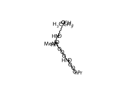 CCCOCCOCCOCCC(=O)NCCCOCCOCCOCCCNC(=O)[C@H](CCCCNC(=O)CCCCCCCCC1=C(C)CCCC1(C)C)NC